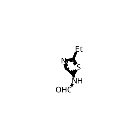 CCc1ncc(NC=O)s1